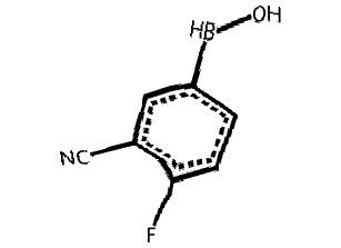 N#Cc1cc(BO)ccc1F